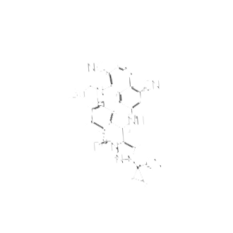 CC(C)(C)CNc1c(C#N)cnc2c(C#N)cc(NC(c3cn(C4(C#N)CC4)nn3)c3ccccc3C(F)F)cc12